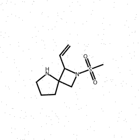 C=CC1N(S(C)(=O)=O)CC12CCCN2